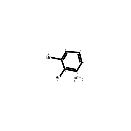 Brc1ccccc1Br.[SnH2]